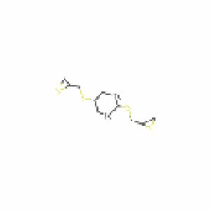 C1SC1CSC1C[Te]C(SCC2CS2)[Te]C1